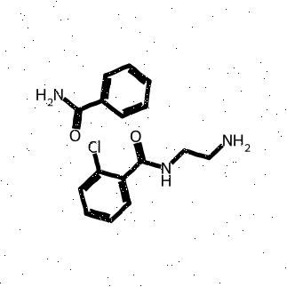 NC(=O)c1ccccc1.NCCNC(=O)c1ccccc1Cl